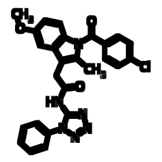 COc1ccc2c(c1)c(CC(=O)Nc1nnnn1-c1ccccc1)c(C)n2C(=O)c1ccc(Cl)cc1